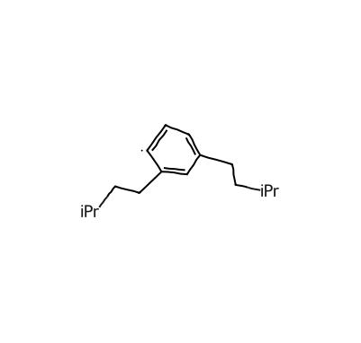 CC(C)CCc1[c]ccc(CCC(C)C)c1